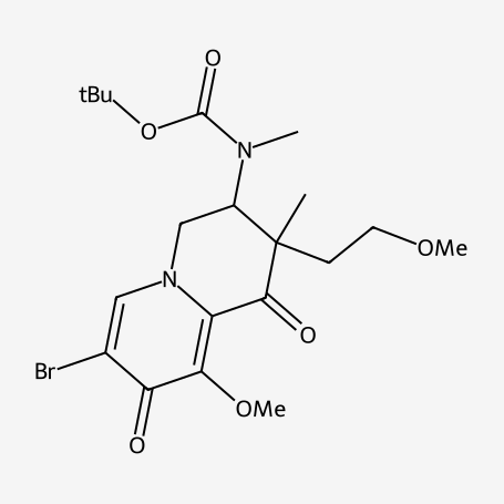 COCCC1(C)C(=O)c2c(OC)c(=O)c(Br)cn2CC1N(C)C(=O)OC(C)(C)C